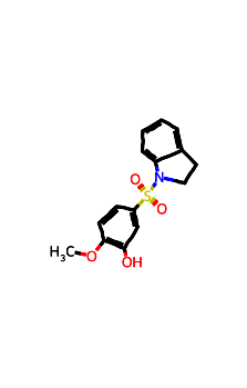 COc1ccc(S(=O)(=O)N2CCc3ccccc32)cc1O